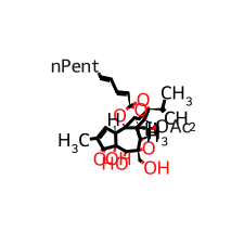 C=C(C)[C@@]12O[C@]3(/C=C/C=C/CCCCC)O[C@@H]1[C@@H]1[C@H]4O[C@]4(CO)[C@@H](O)[C@]4(O)C(=O)C(C)=C[C@H]4[C@@]1(O3)[C@H](C)[C@H]2OC(C)=O